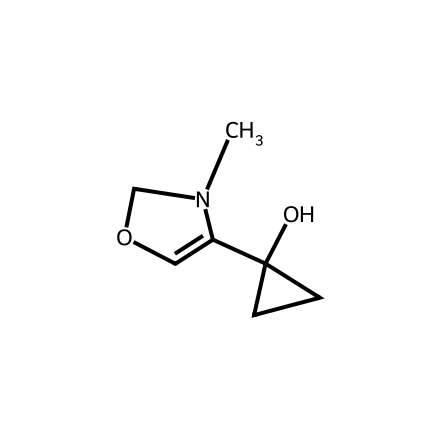 CN1COC=C1C1(O)CC1